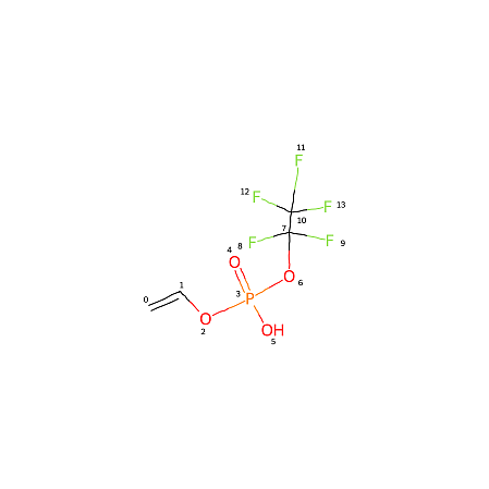 C=COP(=O)(O)OC(F)(F)C(F)(F)F